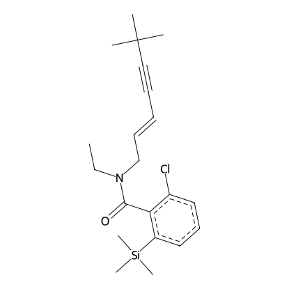 CCN(CC=CC#CC(C)(C)C)C(=O)c1c(Cl)cccc1[Si](C)(C)C